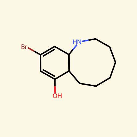 OC1=CC(Br)=CC2NCCCCCCC12